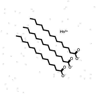 CCCCCCCCCCCCCC(=O)[O-].CCCCCCCCCCCCCC(=O)[O-].CCCCCCCCCCCCCC(=O)[O-].[Ho+3]